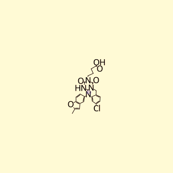 Cc1cc2cc(/N=c3\[nH]c(=O)n(CCCC(=O)O)c(=O)n3Cc3ccc(Cl)cc3)ccc2o1